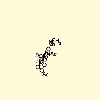 CC(=O)c1ccc(Cl)c(-c2cccc(NC(=O)[C@@H]3C[C@@H](F)CN3C(=O)Cn3nc(C(C)=O)c4cc(-c5cnc(C)nc5)ccc43)c2F)c1